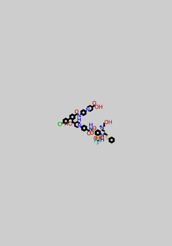 CN(CCO)CC[C@H](CSc1ccccc1)Nc1ccc(S(=O)(=O)NC(=O)c2ccc(N3CCC([C@@H](O)c4cc(C(=O)Nc5ccc(N6CCC(C(=O)O)CC6)cc5)ccc4-c4ccc(Cl)cc4)CC3)cc2)cc1S(=O)(=O)C(F)(F)F